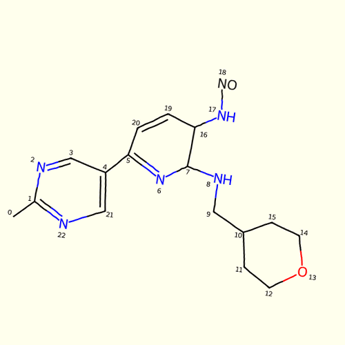 Cc1ncc(C2=NC(NCC3CCOCC3)C(NN=O)C=C2)cn1